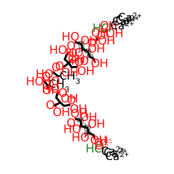 CC(O)C(=O)O.CC(O)C(=O)O.Cl.Cl.O=C(O)CC(O)(CC(=O)O)C(=O)O.O=C(O)CC(O)(CC(=O)O)C(=O)O.O=C(O)O.O=C(O)O.O=C(O)[C@H](O)[C@@H](O)[C@H](O)[C@H](O)CO.O=C(O)[C@H](O)[C@@H](O)[C@H](O)[C@H](O)CO.[Ca+2].[Ca+2].[Ca+2].[Ca+2].[Ca+2].[Ca+2].[Ca+2].[O-2].[O-2]